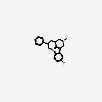 CN1Cc2c3n(c4ccc(Cl)cc24)CC(c2ccccc2)CC3C1